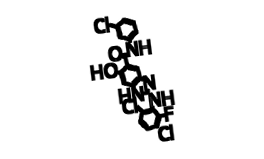 O=C(Nc1cccc(Cl)c1)c1cc2nc(Nc3c(Cl)ccc(Cl)c3F)[nH]c2cc1O